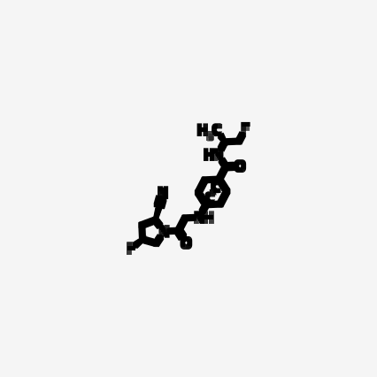 C[C@@H](CF)NC(=O)C12CCC(NCC(=O)N3C[C@@H](F)C[C@H]3C#N)(CC1)CC2